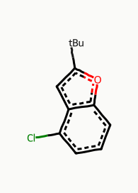 CC(C)(C)c1cc2c(Cl)cccc2o1